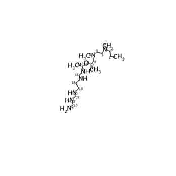 CCCN(C)CCN(C)C[C@H](C)O[C@H](C)NCNCCNCNCN